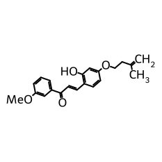 C=C(C)CCOc1ccc(C=CC(=O)c2cccc(OC)c2)c(O)c1